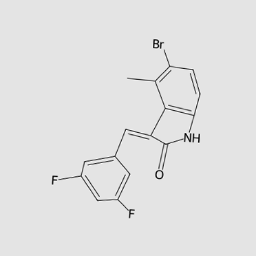 Cc1c(Br)ccc2c1C(=Cc1cc(F)cc(F)c1)C(=O)N2